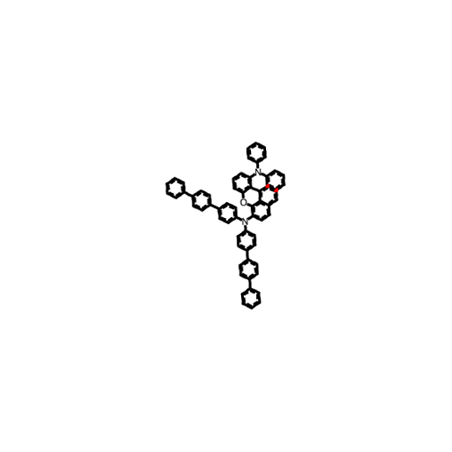 c1ccc(-c2ccc(-c3ccc(N(c4ccc(-c5ccc(-c6ccccc6)cc5)cc4)c4ccc5cccc6c5c4Oc4cccc(N(c5ccccc5)c5ccccc5)c4-6)cc3)cc2)cc1